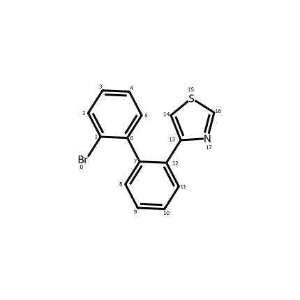 Brc1ccccc1-c1ccccc1-c1cscn1